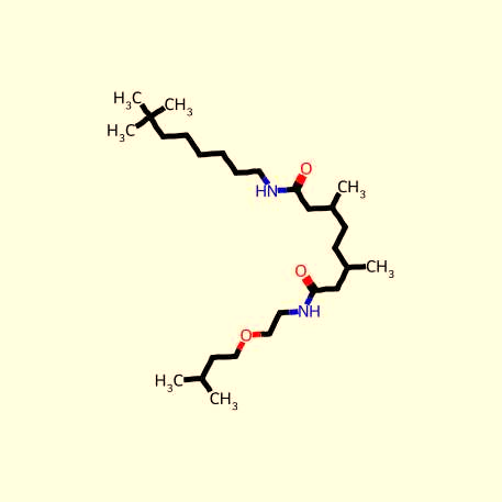 CC(C)CCOCCNC(=O)CC(C)CCC(C)CC(=O)NCCCCCCC(C)(C)C